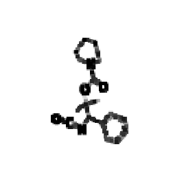 CC(C)(OC(=O)N1CCCCC1)C(N=C=O)c1ccccc1